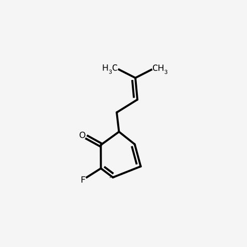 CC(C)=CCC1C=C[C]=C(F)C1=O